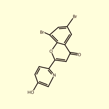 O=c1cc(-c2ccc(O)cn2)oc2c(Br)cc(Br)cc12